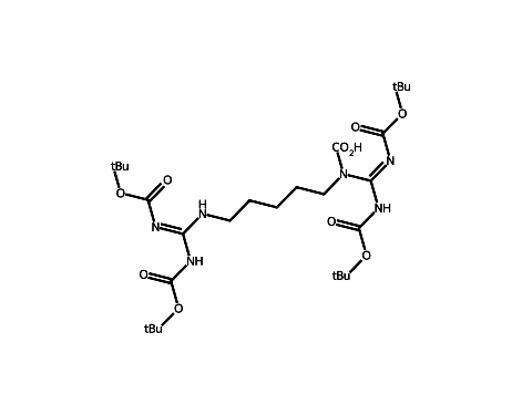 CC(C)(C)OC(=O)/N=C(/NC(=O)OC(C)(C)C)N(CCCCCN/C(=N\C(=O)OC(C)(C)C)NC(=O)OC(C)(C)C)C(=O)O